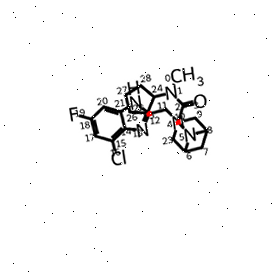 CN(C(=O)CN1C2CC1CN(Cc1nc3c(Cl)cc(F)cc3[nH]1)C2)C1CCCC1